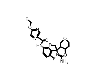 NC1=NC(CF)(c2cc(NC(=O)c3cnc(OCF)cn3)ccc2F)C2COCCC2O1